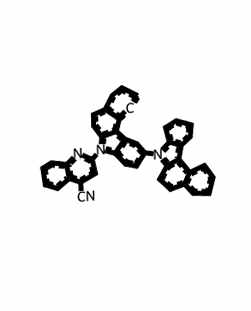 N#Cc1cc(-n2c3ccc(-n4c5ccccc5c5c6ccccc6ccc54)cc3c3c4ccccc4ccc32)nc2ccccc12